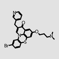 CN(C)CCCOc1cc2c3c(c1)c(=O)c(Cc1cccnc1)cn3-c1cc(Br)ccc1S2